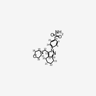 NS(=O)(=O)c1ccc(-n2nc3c(c2CN2CCOCC2)CCCC3)cc1